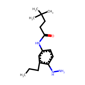 CCCc1cc(NC(=O)CCC(C)(C)C)ccc1NN